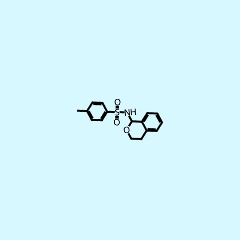 Cc1ccc(S(=O)(=O)NC2OCCc3ccccc32)cc1